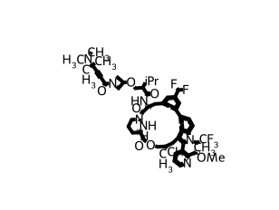 CO[C@@H](C)c1ncccc1-c1c2c3cc(ccc3n1CC(F)(F)F)-c1cc(cc(C(F)F)c1)C[C@H](NC(=O)C(COC1CN(C(=O)C#CC(C)(C)N(C)C)C1)C(C)C)C(=O)N1CCC[C@H](N1)C(=O)OCC(C)(C)C2